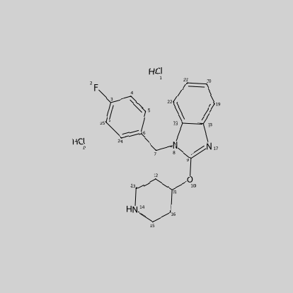 Cl.Cl.Fc1ccc(Cn2c(OC3CCNCC3)nc3ccccc32)cc1